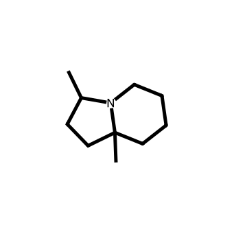 CC1CCC2(C)CCCCN12